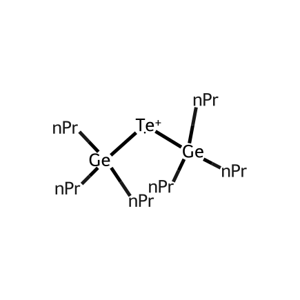 CC[CH2][Ge]([CH2]CC)([CH2]CC)[Te+][Ge]([CH2]CC)([CH2]CC)[CH2]CC